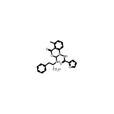 Cc1cccc2c1C(=O)OC(N[C@@H](Cc1ccccc1)C(=O)O)N2NC(=O)c1ccco1